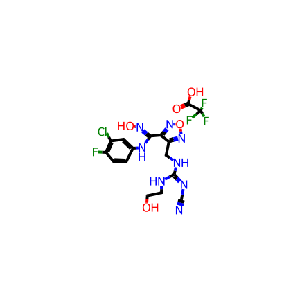 N#C/N=C(\NCCO)NCc1nonc1/C(=N/O)Nc1ccc(F)c(Cl)c1.O=C(O)C(F)(F)F